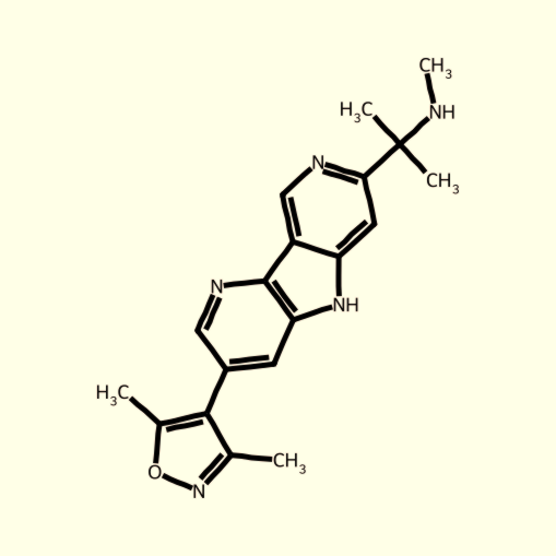 CNC(C)(C)c1cc2[nH]c3cc(-c4c(C)noc4C)cnc3c2cn1